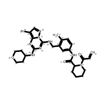 C=CC(=O)N1CCCCC1C(=O)Nc1ccc(C)c(CNc2nc(NC3CCOCC3)nc3c(C(C)C)cnn23)c1